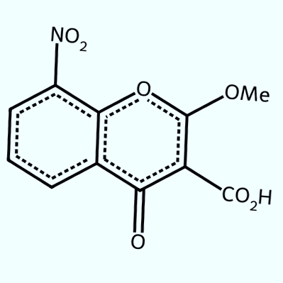 COc1oc2c([N+](=O)[O-])cccc2c(=O)c1C(=O)O